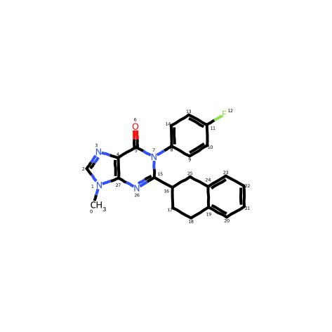 Cn1cnc2c(=O)n(-c3ccc(F)cc3)c(C3CCc4ccccc4C3)nc21